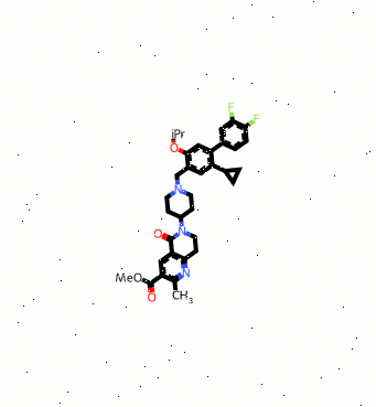 COC(=O)c1cc2c(nc1C)CCN(C1CCN(Cc3cc(C4CC4)c(-c4ccc(F)c(F)c4)cc3OC(C)C)CC1)C2=O